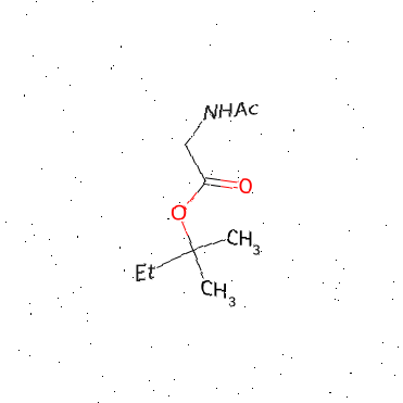 CCC(C)(C)OC(=O)CNC(C)=O